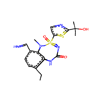 CCc1ccc(C=N)c2c1NC(=O)N=S(=O)(c1cnc(C(C)(C)O)s1)N2C